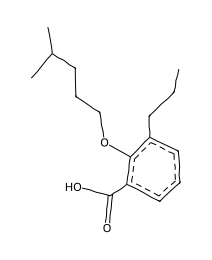 CCCc1cccc(C(=O)O)c1OCCCC(C)C